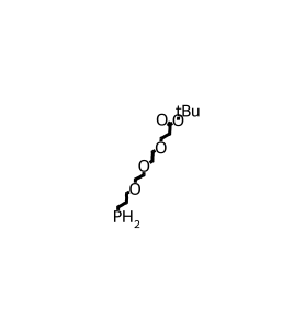 CC(C)(C)OC(=O)CCOCCOCCOCCCP